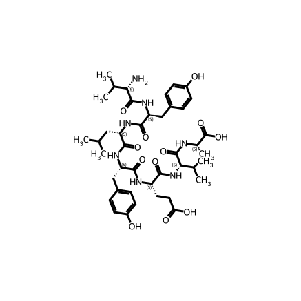 CC(C)C[C@H](NC(=O)[C@H](Cc1ccc(O)cc1)NC(=O)[C@@H](N)C(C)C)C(=O)N[C@@H](Cc1ccc(O)cc1)C(=O)N[C@@H](CCC(=O)O)C(=O)N[C@H](C(=O)N[C@@H](C)C(=O)O)C(C)C